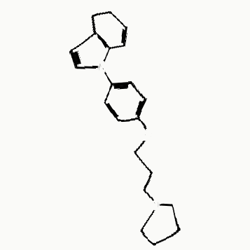 C1=Cc2c(ccn2-c2ccc(OCCCN3CCCC3)cc2)CC1